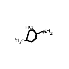 CC1CCC(CN)CC1.Cl